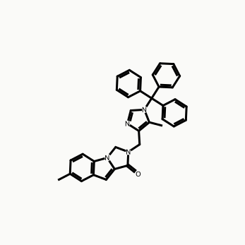 Cc1ccc2c(c1)cc1n2CN(Cc2ncn(C(c3ccccc3)(c3ccccc3)c3ccccc3)c2C)C1=O